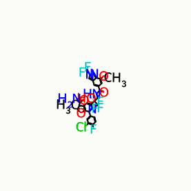 COc1cc(C(=O)NC[C@](O)(c2cc3c(c(-c4ccc(F)c(Cl)c4)n2)OC[C@]3(C)C(N)=O)C(F)(F)F)cc2cn(C(F)F)nc12